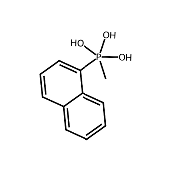 CP(O)(O)(O)c1cccc2ccccc12